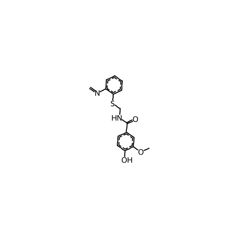 C=Nc1ccccc1SCNC(=O)c1ccc(O)c(OC)c1